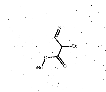 CCCCOC(=O)C(C=N)CC